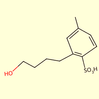 Cc1ccc(S(=O)(=O)O)c(CCCCO)c1